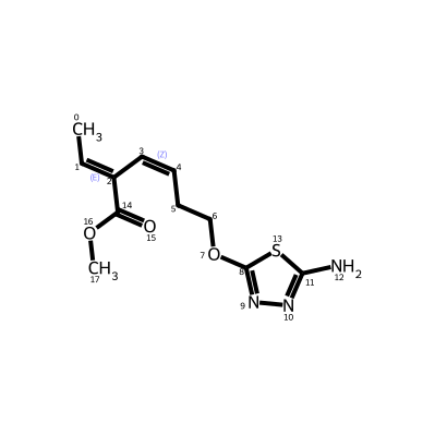 C/C=C(\C=C/CCOc1nnc(N)s1)C(=O)OC